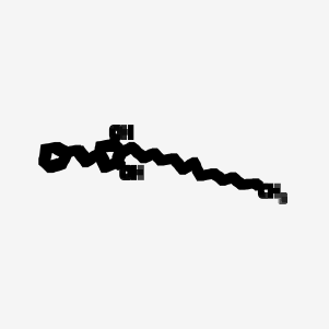 CCCCCCCCCCCCCCc1c(O)cc(C=Cc2ccccc2)cc1O